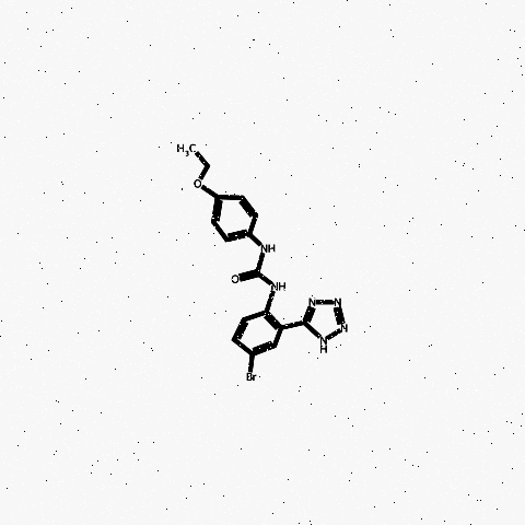 CCOc1ccc(NC(=O)Nc2ccc(Br)cc2-c2nnn[nH]2)cc1